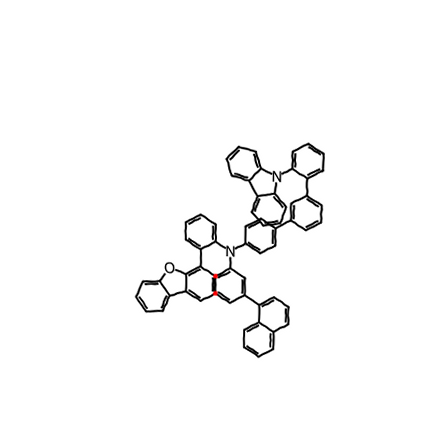 c1cc(-c2ccc(N(c3cccc(-c4cccc5ccccc45)c3)c3ccccc3-c3cccc4c3oc3ccccc34)cc2)cc(-c2ccccc2-n2c3ccccc3c3ccccc32)c1